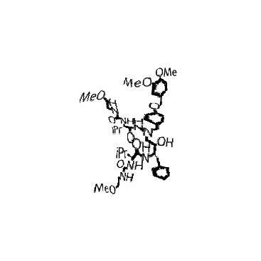 COCCNC(=O)N[C@H](C(=O)N[C@@H](Cc1ccccc1)[C@@H](O)CN(Cc1ccc(OCc2ccc(OC)c(OC)c2)cc1)NC(=O)[C@@H](NC(=O)NCCOC)C(C)C)C(C)C